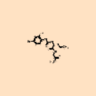 CCC[C@H](NC(=O)Nc1ccc(Br)cc1F)C(=O)NCC(N)=O